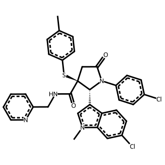 Cc1ccc(S[C@@]2(C(=O)NCc3ccccn3)CC(=O)N(c3ccc(Cl)cc3)[C@@H]2c2cn(C)c3cc(Cl)ccc23)cc1